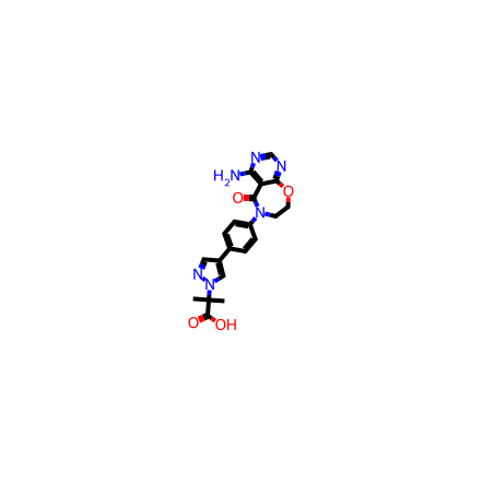 CC(C)(C(=O)O)n1cc(-c2ccc(N3CCOc4ncnc(N)c4C3=O)cc2)cn1